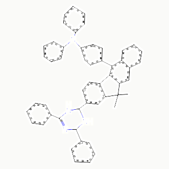 CC1(C)c2cc(C3NC(c4ccccc4)=NC(c4ccccc4)N3)ccc2-c2c1cc1ccccc1c2-c1ccc(N(c2ccccc2)c2ccccc2)cc1